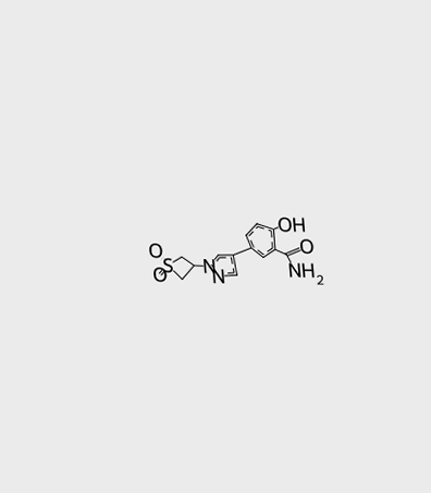 NC(=O)c1cc(-c2cnn(C3CS(=O)(=O)C3)c2)ccc1O